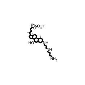 CC(C)[C@@H](CC[C@@H](C)C1CCC2C3C(CC[C@@]21C)C1C(C[C@@H](NCCCNCCCCN)C[C@H]1C)C[C@H]3O)OS(=O)(=O)O